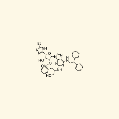 CCc1nnc([C@H]2O[C@@H](n3cnc4c(NCC(c5ccccc5)c5ccccc5)nc(N[C@H](CO)Cc5ccccc5)nc43)[C@H](OC=O)[C@@H]2O)[nH]1